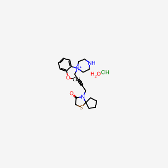 COc1ccccc1[N+]1(CC#CCN2C(=O)CSC23CCCC3)CCNCC1.Cl.O